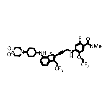 CNC(=O)c1cc(OCC(F)(F)F)c(NCC#Cc2sc3c(NC4CCC(N5CCS(=O)(=O)CC5)CC4)cccc3c2CC(F)(F)F)cc1F